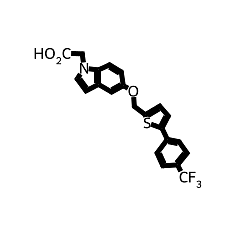 O=C(O)Cn1ccc2cc(OCc3ccc(-c4ccc(C(F)(F)F)cc4)s3)ccc21